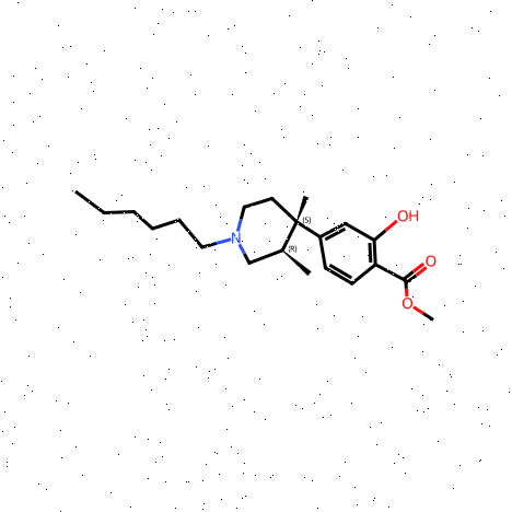 CCCCCCN1CC[C@](C)(c2ccc(C(=O)OC)c(O)c2)[C@@H](C)C1